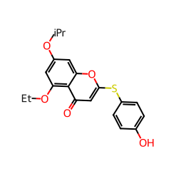 CCOc1cc(OC(C)C)cc2oc(Sc3ccc(O)cc3)cc(=O)c12